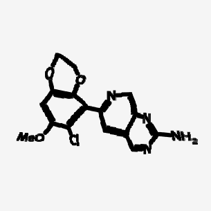 COc1cc2c(c(-c3cc4cnc(N)nc4cn3)c1Cl)OCCO2